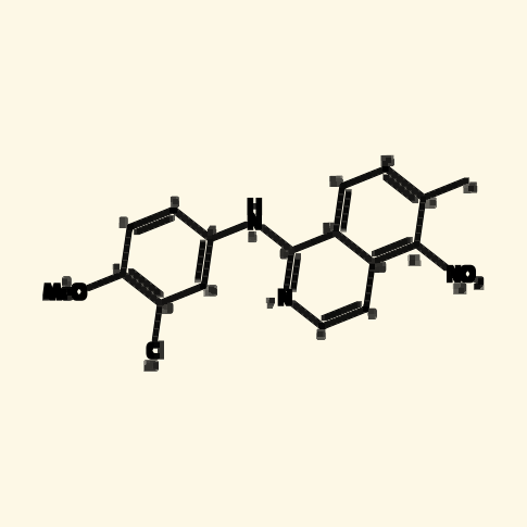 COc1ccc(Nc2nccc3c([N+](=O)[O-])c(C)ccc23)cc1Cl